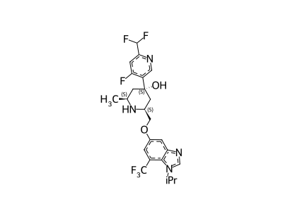 CC(C)n1cnc2cc(OC[C@@H]3C[C@](O)(c4cnc(C(F)F)cc4F)C[C@H](C)N3)cc(C(F)(F)F)c21